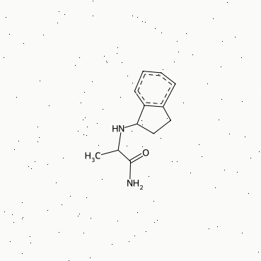 CC(NC1CCc2ccccc21)C(N)=O